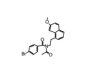 COc1ccc2cccc(CCN(C(C)=O)C(=O)c3ccc(Br)cc3)c2c1